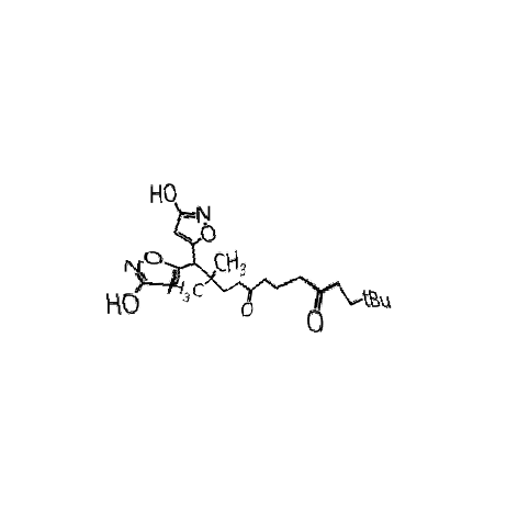 CC(C)(C)CCC(=O)CCCC(=O)CCC(C)(C)C(c1cc(O)no1)c1cc(O)no1